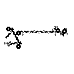 CCCCC[N+]1=C(/C=C/C(C/C=C/C=C2\N(CCCCS(=O)(=O)O)c3ccccc3C2(C)C)c2ccc(CNCCCOCCOCCOCCOCCOCCCNc3cc(-n4nc(C)c5c4CC(C)(C)CC5=O)ccc3C(N)=O)cc2)C(C)(C)c2ccccc21